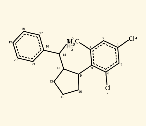 Cc1cc(Cl)cc(Cl)c1C1CCCC1C(N)c1ccccc1